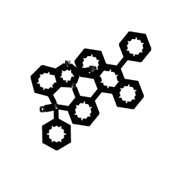 CCc1nc2cccc3c2n1-c1c(-c2c4ccccc4c(-c4ccccc4)c4ccccc24)cccc1P3(=O)c1ccccc1